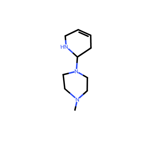 CN1CCN(C2CC=CCN2)CC1